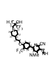 CNc1cc(-c2ccc(OCCC3CCN(CC(C)(O)C(F)(F)F)CC3)c(C(F)(F)F)c2)nc(C#N)c1N=N